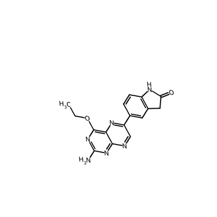 CCOc1nc(N)nc2ncc(-c3ccc4c(c3)CC(=O)N4)nc12